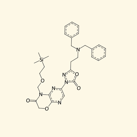 C[Si](C)(C)CCOCN1C(=O)COc2ncc(-n3nc(CCN(Cc4ccccc4)Cc4ccccc4)oc3=O)nc21